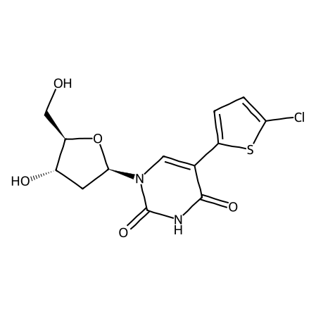 O=c1[nH]c(=O)n([C@H]2C[C@H](O)[C@@H](CO)O2)cc1-c1ccc(Cl)s1